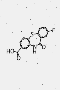 O=C(O)c1ccc2c(c1)NC(=O)c1cc(F)ccc1S2